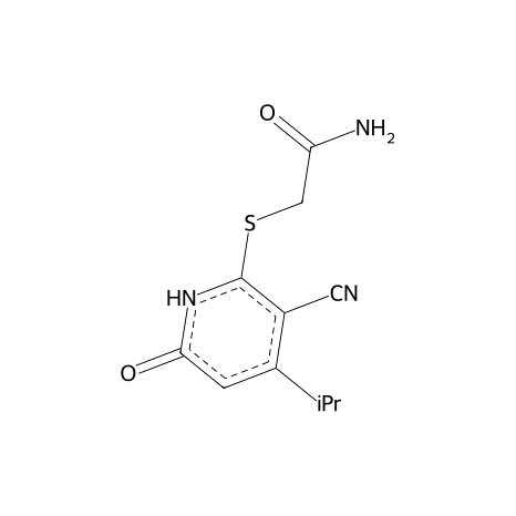 CC(C)c1cc(=O)[nH]c(SCC(N)=O)c1C#N